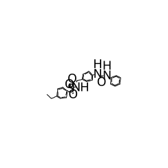 CCc1ccc(S(=O)(=O)NC(=O)c2ccc(NC(=O)Nc3ccccc3)cc2)cc1